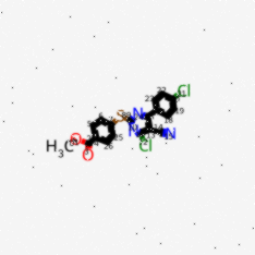 COC(=O)c1ccc(Sc2nc(Cl)c(C#N)c(-c3ccc(Cl)cc3)n2)cc1